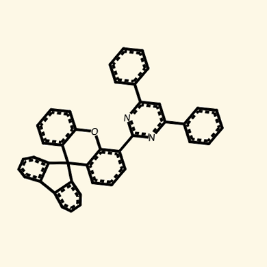 c1ccc(-c2cc(-c3ccccc3)nc(-c3cccc4c3Oc3ccccc3C43c4ccccc4-c4ccccc43)n2)cc1